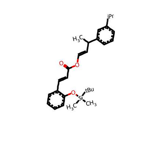 CC(C)c1cccc(C(C)/C=C/OC(=O)/C=C/c2ccccc2O[Si](C)(C)C(C)(C)C)c1